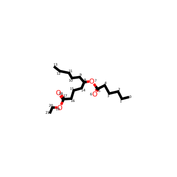 CCCCCC(=O)OC(CCCCC)CCCC(=O)OCC